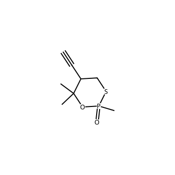 C#CC1CSP(C)(=O)OC1(C)C